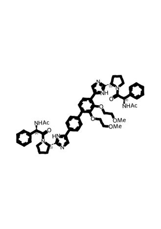 COCCOc1c(-c2ccc(-c3cnc([C@@H]4CCCN4C(=O)[C@H](NC(C)=O)c4ccccc4)[nH]3)cc2)ccc(-c2cnc([C@@H]3CCCN3C(=O)[C@H](NC(C)=O)c3ccccc3)[nH]2)c1OCCOC